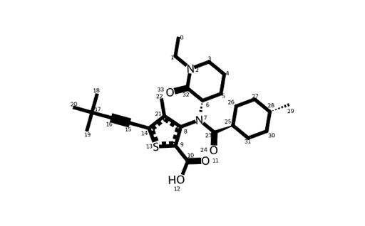 CCN1CCC[C@H](N(c2c(C(=O)O)sc(C#CC(C)(C)C)c2C)C(=O)[C@H]2CC[C@H](C)CC2)C1=O